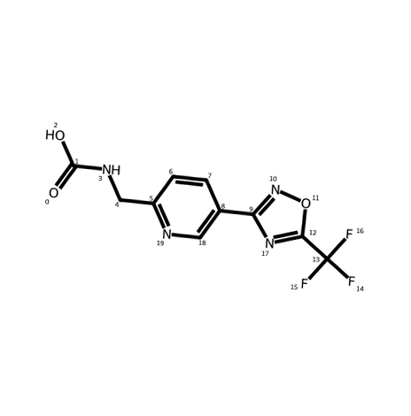 O=C(O)NCc1ccc(-c2noc(C(F)(F)F)n2)cn1